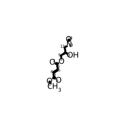 COC(=O)/C=C/C(=O)OCC(O)CN=O